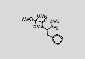 COC(=O)C(CC(=O)C(OC)(OC)OC)Cc1ccccc1